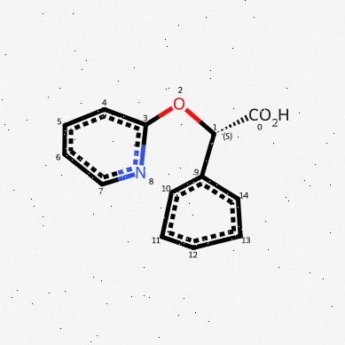 O=C(O)[C@@H](Oc1ccccn1)c1ccccc1